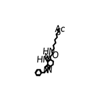 CC(=O)SCCCCCCNC(=O)c1n[nH]c2c1CCc1nn(Cc3ccccc3)cc1-2